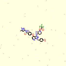 COc1ccc(Cn2nc(N[C@@H]3CCCN(OC(=O)C(F)(F)F)C3)c3c(Oc4ccc(C(=O)Nc5cc(C)n(C)n5)cc4)ccnc32)cc1